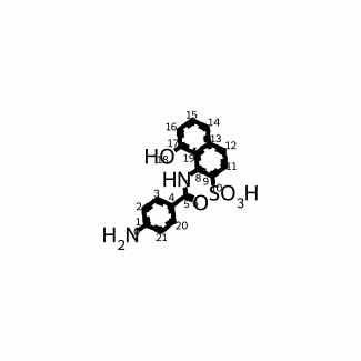 Nc1ccc(C(=O)Nc2c(S(=O)(=O)O)ccc3cccc(O)c23)cc1